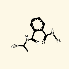 CCCCC(C)NC(=O)c1ccccc1C(=O)NCC